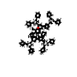 N#Cc1ccc(-n2c3ccc(-c4nc(-c5ccccc5)nc(-c5ccccc5)n4)cc3c3cc(-c4nc(-c5ccccc5)nc(-c5ccccc5)n4)ccc32)c(-c2ccc(C#N)c(-c3ccncc3)c2-n2c3ccc(-c4nc(-c5ccccc5)nc(-c5ccccc5)n4)cc3c3cc(-c4nc(-c5ccccc5)nc(-c5ccccc5)n4)ccc32)c1